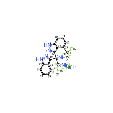 Cl.Cl.NCC(N)(c1n[nH]c2cccc(C(F)(F)F)c12)c1n[nH]c2cccc(C(F)(F)F)c12